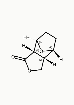 O=C1OC[C@@H]2[C@H]1[C@H]1CC[C@H]2O1